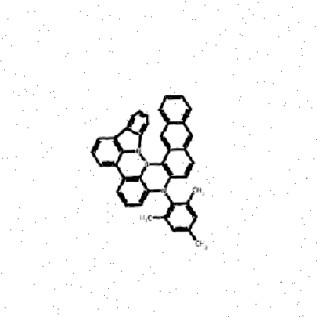 Cc1cc(C)c(N2c3cccc4c3B(c3c2ccc2cc5ccccc5cc32)n2c3ccccc3c3cccc-4c32)c(C)c1